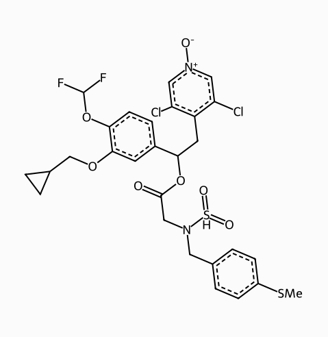 CSc1ccc(CN(CC(=O)OC(Cc2c(Cl)c[n+]([O-])cc2Cl)c2ccc(OC(F)F)c(OCC3CC3)c2)[SH](=O)=O)cc1